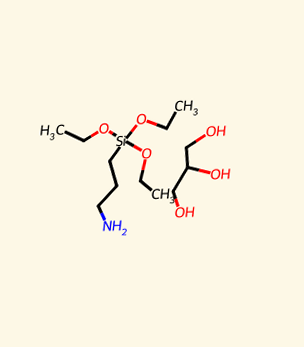 CCO[Si](CCCN)(OCC)OCC.OCC(O)CO